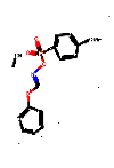 CC#N.COc1ccc(S(=O)(=O)ON=COc2ccccc2)cc1